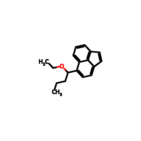 CCCC(OCC)c1ccc2c3c(cccc13)C=C2